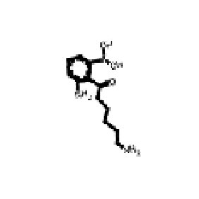 NCCCCCC(=O)c1c(N)cccc1B(O)O